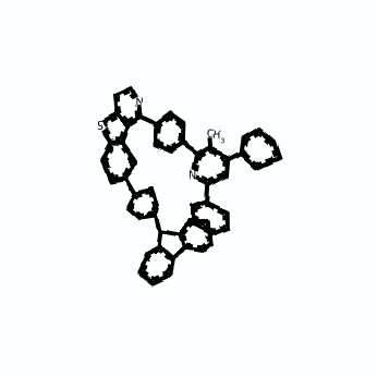 Cc1c(-c2ccccc2)cc(-c2ccccc2)nc1-c1ccc(-c2nccc3sc4ccc(-c5ccc(C6c7ccccc7-c7ccccc76)cc5)cc4c23)cc1